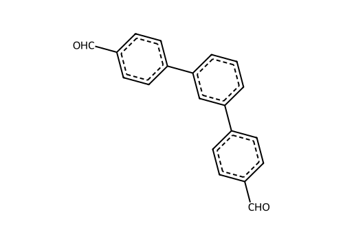 O=Cc1ccc(-c2cccc(-c3ccc(C=O)cc3)c2)cc1